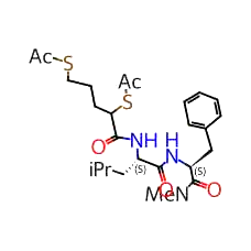 CNC(=O)[C@H](Cc1ccccc1)NC(=O)[C@H](CC(C)C)NC(=O)C(CCCSC(C)=O)SC(C)=O